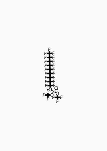 FC(F)(F)O[Si](Cl)(OC(F)(F)F)OC(F)(F)C(F)(F)C(F)(F)C(F)(F)C(F)(F)C(F)(F)C(F)(F)C(F)(F)C(F)(F)F